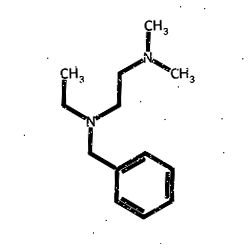 CCN(CCN(C)C)Cc1ccccc1